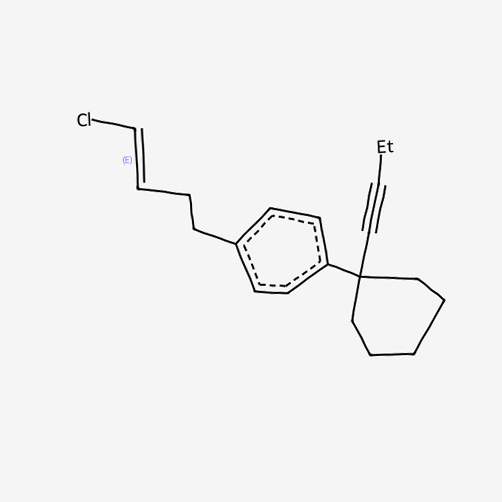 CCC#CC1(c2ccc(CC/C=C/Cl)cc2)CCCCC1